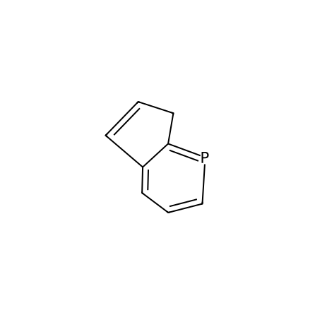 C1=Cc2cccpc2C1